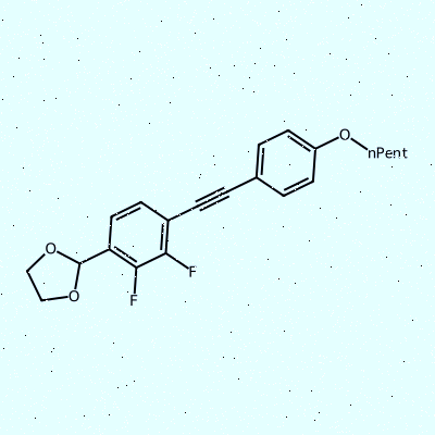 CCCCCOc1ccc(C#Cc2ccc(C3OCCO3)c(F)c2F)cc1